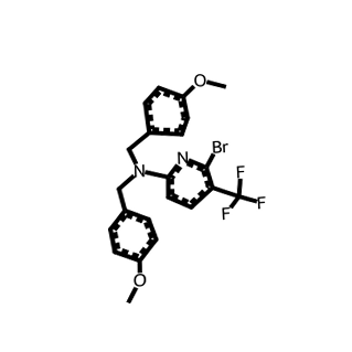 COc1ccc(CN(Cc2ccc(OC)cc2)c2ccc(C(F)(F)F)c(Br)n2)cc1